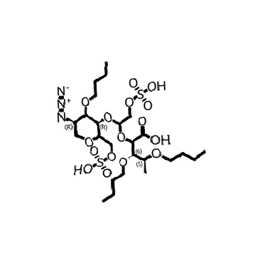 CCCCOC1[C@@H](OC(COS(=O)(=O)O)OC(C(=O)O)[C@@H](OCCCC)[C@H](C)OCCCC)C(COS(=O)(=O)O)OC[C@H]1N=[N+]=[N-]